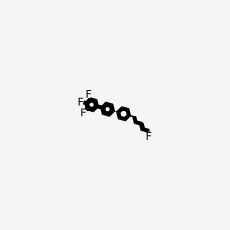 FCC=CCC[C@H]1CC[C@H](c2ccc(-c3cc(F)c(F)c(F)c3)cc2)CC1